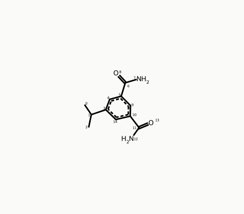 CC(C)c1cc(C(N)=O)cc(C(N)=O)c1